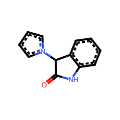 O=C1Nc2ccccc2C1n1cccc1